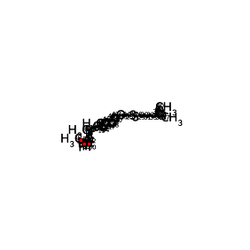 CCCC(OCCN(C)CCOC1CCC2C3CCc4cc(OCCCSSCCCCCCC(COC)COC)ccc4C3CCC12C)(C(F)(F)F)C(F)(F)F